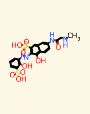 CNCC(=O)Nc1ccc2c(O)c(N=Nc3cccc(S(=O)(=O)O)c3O)c(S(=O)(=O)O)cc2c1